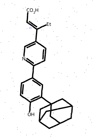 CC/C(=C\C(=O)O)c1ccc(-c2ccc(O)c(C34CC5CC(CC(C5)C3)C4)c2)nc1